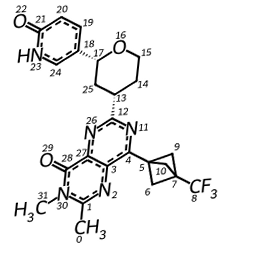 Cc1nc2c(C34CC(C(F)(F)F)(C3)C4)nc([C@H]3CCO[C@@H](c4ccc(=O)[nH]c4)C3)nc2c(=O)n1C